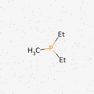 CCP(C)CC